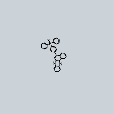 S=P(c1ccccc1)(c1ccccc1)c1ccc(-c2cc3nc4ccccc4nc3c3ccccc23)cc1